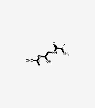 C[C@H](N)C(=O)NCC(O)N[C@@H](C)C=O